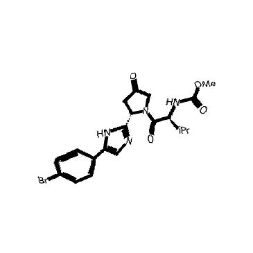 COC(=O)N[C@H](C(=O)N1CC(=O)C[C@H]1c1ncc(-c2ccc(Br)cc2)[nH]1)C(C)C